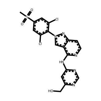 CS(=O)(=O)c1cc(Cl)c(-n2cc3c(Nc4cc(CO)ncn4)nccc3n2)c(Cl)c1